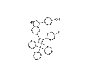 CP1(C(c2ccccc2)(c2ccccc2)c2ccccc2)=C(c2ccc(F)cc2)C(C2=CN3C(c4ccc(O)cc4)=CNC3C=C2)=C1